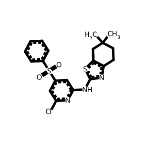 CC1(C)CCc2nc(Nc3cc(S(=O)(=O)c4ccccc4)cc(Cl)n3)sc2C1